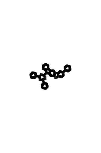 c1ccc(-c2ccc3oc4cc5c(cc4c3c2)c2ccccc2n5-c2nc(-c3ccccc3)nc(-c3ccccc3)n2)cc1